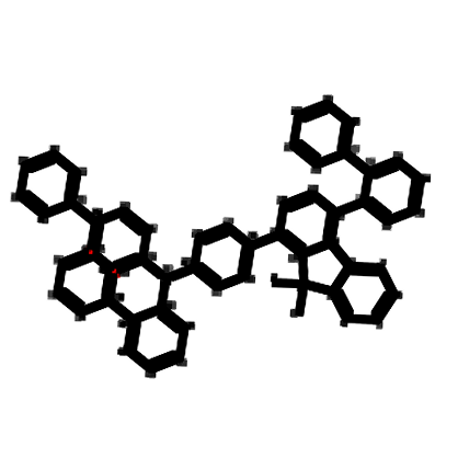 CC1(C)c2ccccc2-c2c(-c3ccccc3-c3ccccc3)ccc(-c3ccc(N(c4ccc(-c5ccccc5)cc4)c4ccccc4-c4ccccc4)cc3)c21